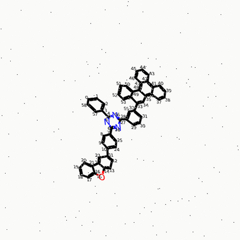 c1ccc(-c2nc(-c3ccc(-c4ccc5oc6ccccc6c5c4)cc3)nc(-c3cccc(-c4cc5c6ccccc6c6ccccc6c5c5ccccc45)c3)n2)cc1